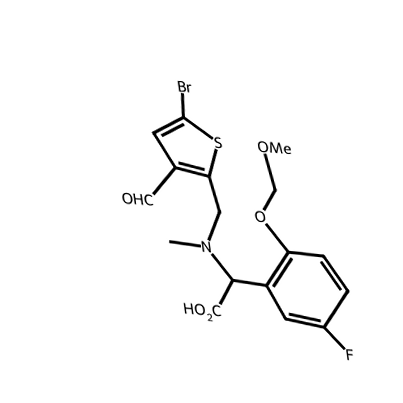 COCOc1ccc(F)cc1C(C(=O)O)N(C)Cc1sc(Br)cc1C=O